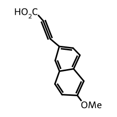 COc1ccc2cc(C#CC(=O)O)ccc2c1